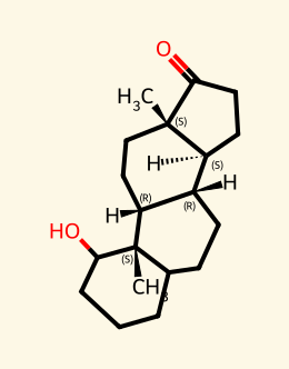 C[C@]12C(O)CCCC1CC[C@@H]1[C@H]2CC[C@]2(C)C(=O)CC[C@@H]12